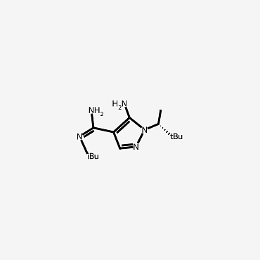 CCC(C)/N=C(/N)c1cnn([C@H](C)C(C)(C)C)c1N